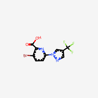 O=C(O)c1nc(-n2cc(C(F)(F)F)cn2)ccc1Br